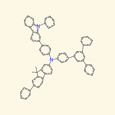 CC1(C)c2cc(-c3ccccc3)ccc2-c2ccc(N(c3ccc(-c4cc(-c5ccccc5)cc(-c5ccccc5)c4)cc3)c3ccc(-c4ccc5c6ccccc6n(-c6ccccc6)c5c4)cc3)cc21